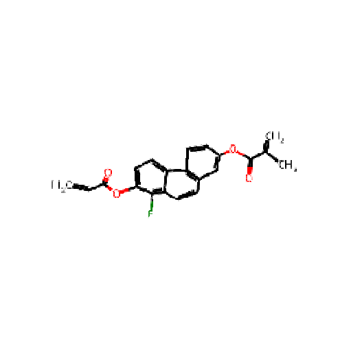 C=CC(=O)Oc1ccc2c(ccc3cc(OC(=O)C(=C)C)ccc32)c1F